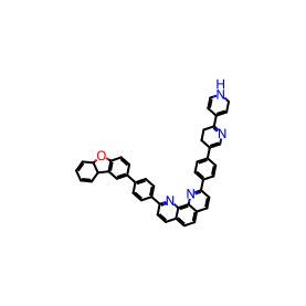 C1=CC2Oc3ccc(-c4ccc(-c5ccc6ccc7ccc(-c8ccc(C9=CN=C(C%10=CCNC=C%10)CC9)cc8)nc7c6n5)cc4)cc3C2C=C1